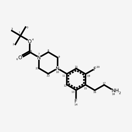 CC(C)(C)OC(=O)N1CCN(c2cc(F)c(CCN)c(F)c2)CC1